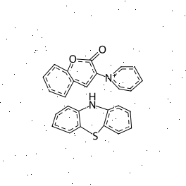 O=c1oc2ccccc2cc1-[n+]1ccccc1.c1ccc2c(c1)Nc1ccccc1S2